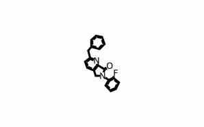 O=C1c2nc(Cc3ccccc3)ccc2CN1c1ccccc1F